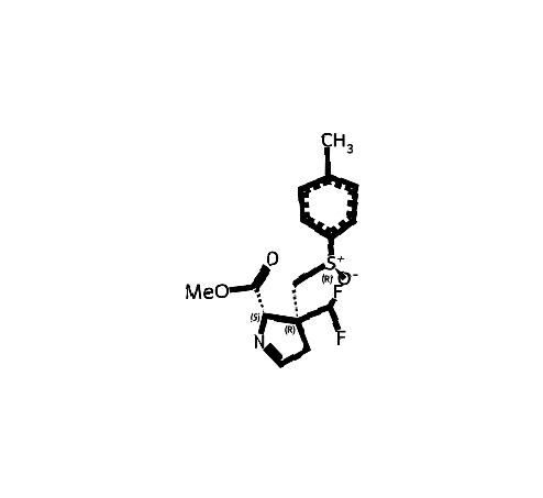 COC(=O)[C@H]1N=CC[C@]1(C[S@+]([O-])c1ccc(C)cc1)C(F)F